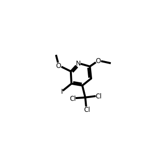 COc1cc(C(Cl)(Cl)Cl)c(I)c(OC)n1